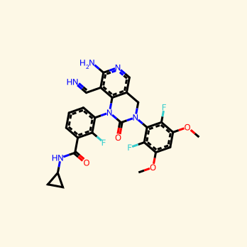 COc1cc(OC)c(F)c(N2Cc3cnc(N)c(C=N)c3N(c3cccc(C(=O)NC4CC4)c3F)C2=O)c1F